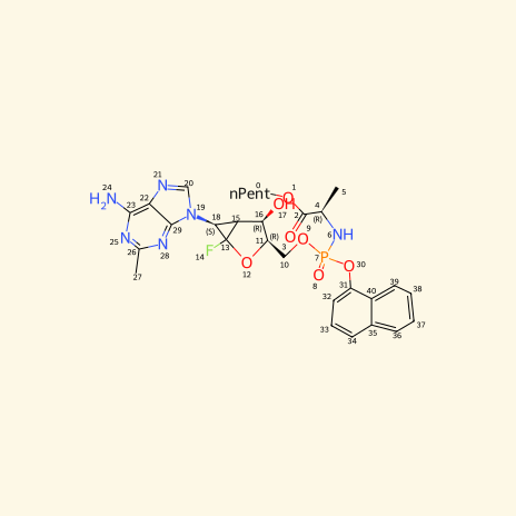 CCCCCOC(=O)[C@@H](C)NP(=O)(OC[C@H]1OC2(F)C([C@H]1O)[C@@H]2n1cnc2c(N)nc(C)nc21)Oc1cccc2ccccc12